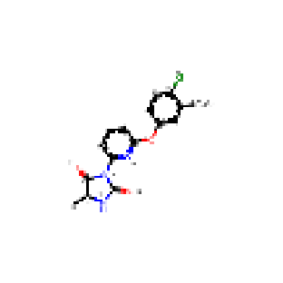 COc1cc(Oc2cccc(N3C(=O)NC(C)C3=O)n2)ccc1Cl